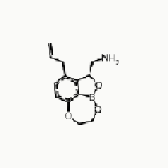 C=CCc1ccc2c3c1[C@@H](CN)OB3OCCO2